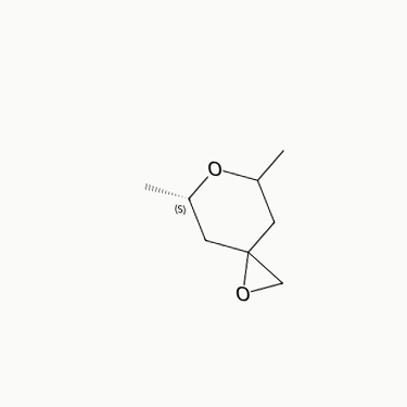 CC1CC2(CO2)C[C@H](C)O1